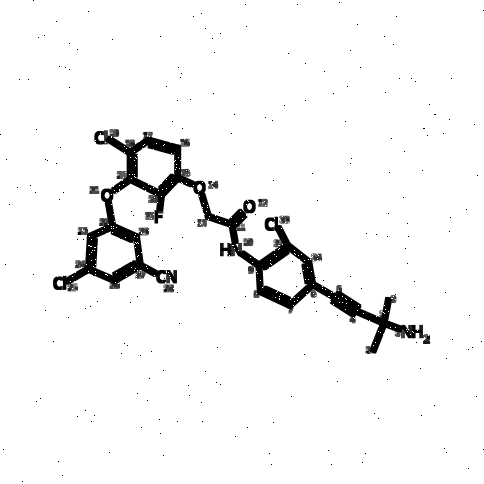 CC(C)(N)C#Cc1ccc(NC(=O)COc2ccc(Cl)c(Oc3cc(Cl)cc(C#N)c3)c2F)c(Cl)c1